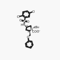 CC(C)(C)[N+]1(C(=O)[O-])C[C@H](NS(=O)(=O)c2cc(Cl)ccc2Cl)C[C@@H]1COc1ccccc1